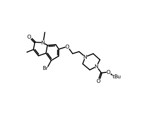 Cc1cc2c(Br)cc(OCCN3CCN(C(=O)OC(C)(C)C)CC3)cc2n(C)c1=O